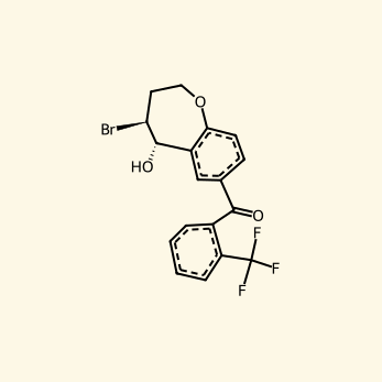 O=C(c1ccc2c(c1)[C@H](O)[C@@H](Br)CCO2)c1ccccc1C(F)(F)F